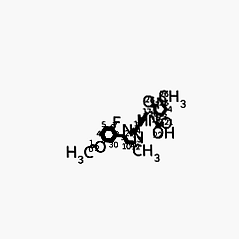 CCOc1ccc(F)c(-c2cc(C)nc(C#CC[C@@]3(NC(=O)O)CCN(C)C3=O)n2)c1